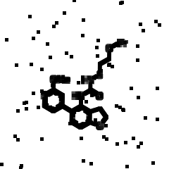 COc1cc(-c2ccc3c(c2NC(=O)NSCCOC(C)C)CCO3)ccn1